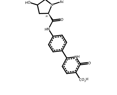 CC(=O)N1CC(O)C[C@@H]1C(=O)Nc1ccc(-c2ccc(C(=O)O)c(=O)[nH]2)cc1